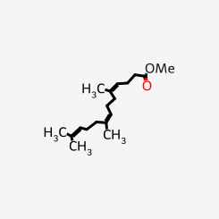 COC(=O)CCC=C(C)CCC=C(C)CCC=C(C)C